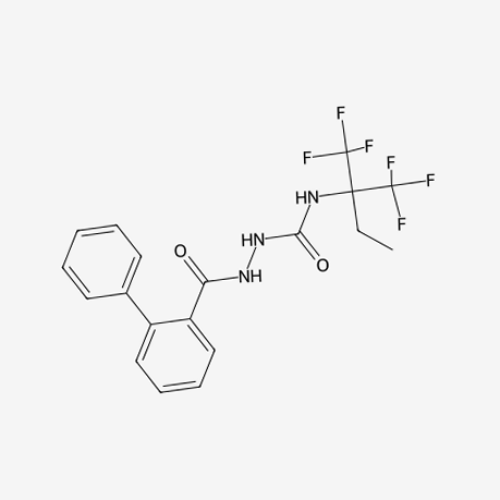 CCC(NC(=O)NNC(=O)c1ccccc1-c1ccccc1)(C(F)(F)F)C(F)(F)F